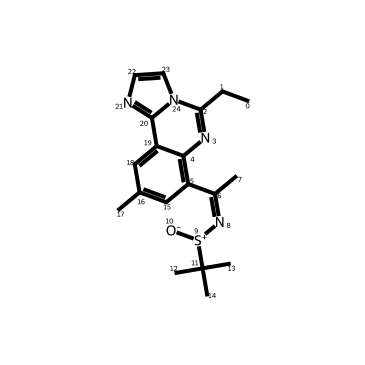 CCc1nc2c(/C(C)=N\[S+]([O-])C(C)(C)C)cc(C)cc2c2nccn12